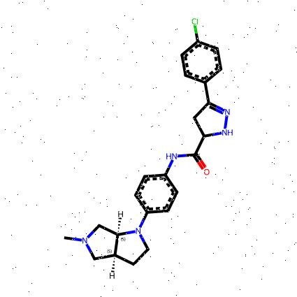 CN1C[C@@H]2CCN(c3ccc(NC(=O)C4CC(c5ccc(Cl)cc5)=NN4)cc3)[C@@H]2C1